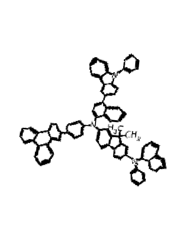 CC1(C)c2cc(N(c3ccccc3)c3cccc4ccccc34)ccc2-c2ccc(N(c3ccc(-c4ccc5c6ccccc6c6ccccc6c5c4)cc3)c3ccc(-c4ccc5c(c4)c4ccccc4n5-c4ccccc4)c4ccccc34)cc21